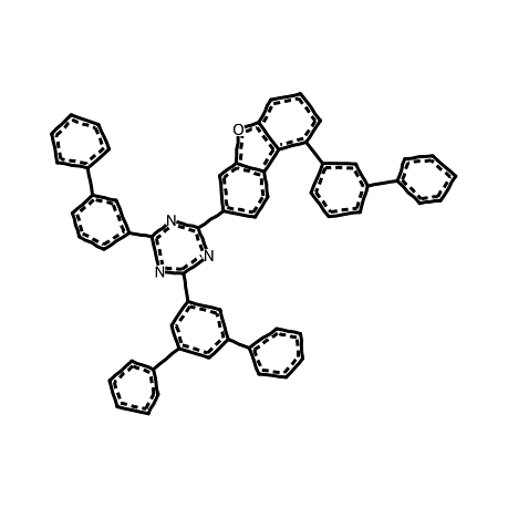 c1ccc(-c2cccc(-c3nc(-c4cc(-c5ccccc5)cc(-c5ccccc5)c4)nc(-c4ccc5c(c4)oc4cccc(-c6cccc(-c7ccccc7)c6)c45)n3)c2)cc1